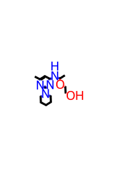 Cc1cc(NC(C)OCCO)nc(N2CCCCC2)n1